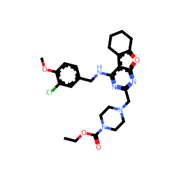 CCOC(=O)N1CCN(Cc2nc(NCc3ccc(OC)c(Cl)c3)c3c4c(oc3n2)CCCC4)CC1